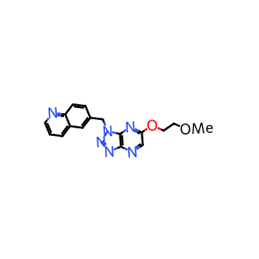 COCCOc1cnc2nnn(Cc3ccc4ncccc4c3)c2n1